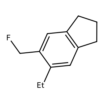 CCc1cc2c(cc1CF)CCC2